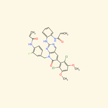 C=CC(=O)Nc1ccc(Cn2c(=O)c(-c3c(Cl)c(OC)cc(OC)c3Cl)cc3cnc(Nc4ccccc4NC(=O)C=C)nc32)cc1F